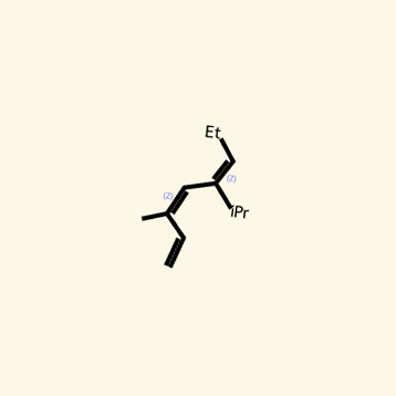 C=C/C(C)=C\C(=C/CC)C(C)C